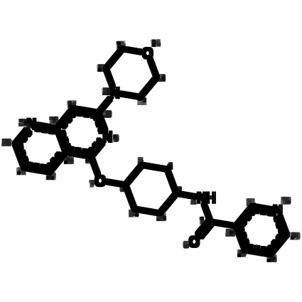 O=C(NC1CCC(Oc2nc(N3CCOCC3)cc3ncccc23)CC1)c1cccnc1